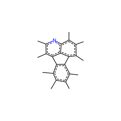 Cc1nc2c(C)c(C)c(C)c3c2c(c1C)-c1c(C)c(C)c(C)c(C)c1-3